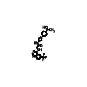 CC(O)[C@H]1CC[C@H](N2CC(NC(=O)CNc3ncnc4ccc(C(F)(F)F)cc34)C2)CC1